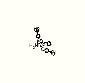 NC(COc1ccc(-c2cnoc2)cc1)N(CCOc1ccc(-c2cnoc2)cc1)C(=O)OCc1ccccc1